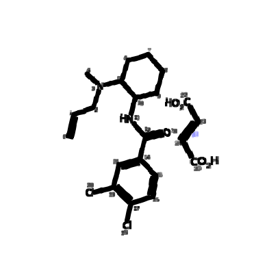 C=CCN(C)C1CCCCC1NC(=O)c1ccc(Cl)c(Cl)c1.O=C(O)/C=C/C(=O)O